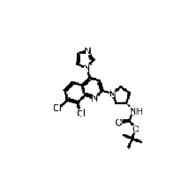 CC(C)(C)OC(=O)N[C@H]1CCN(c2cc(-n3ccnc3)c3ccc(Cl)c(Cl)c3n2)C1